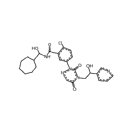 O=C(NC(O)C1CCCCCC1)c1cc(-n2ncc(=O)n(CC(O)c3cccnc3)c2=O)ccc1Cl